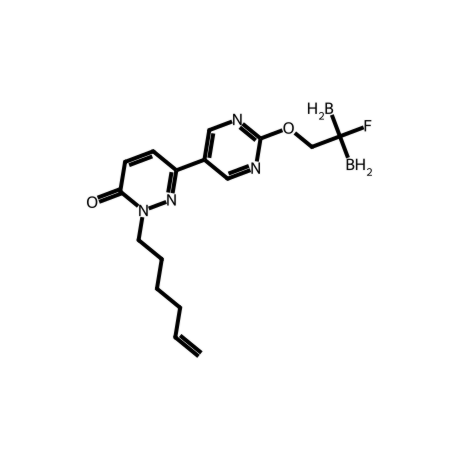 BC(B)(F)COc1ncc(-c2ccc(=O)n(CCCCC=C)n2)cn1